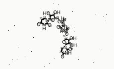 O=c1ccn([C@@H]2O[C@H](CO[PH](=O)O[PH](=O)O[PH](=O)OC[C@H]3O[C@@H](n4ccc(=O)[nH]c4=O)[C@@H](O)C3O)C(O)[C@@H]2O)c(=O)[nH]1